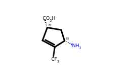 N[C@H]1C[C@@H](C(=O)O)C=C1C(F)(F)F